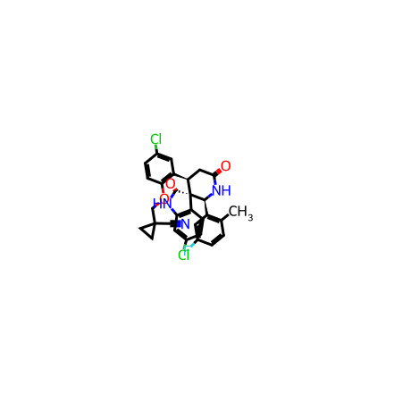 Cc1ccc(F)cc1[C@@H]1NC(=O)C[C@H](c2cc(Cl)ccc2OCC2(C#N)CC2)[C@@]12C(=O)Nc1cc(Cl)ccc12